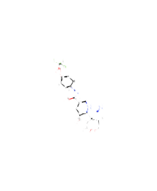 N#CC1(c2ncc(C(=O)Nc3ccc(OC(F)(F)F)cc3)cc2Br)CCOCC1